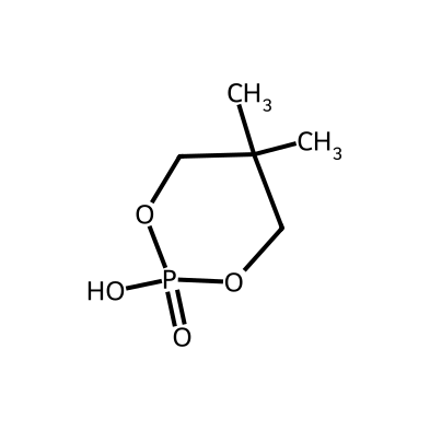 CC1(C)COP(=O)(O)OC1